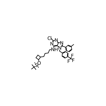 Cc1cccc(-c2nc3nc(Cl)nc(NCCCCC4CCC4O[Si](C)(C)C(C)(C)C)c3n2Cc2ccc(C(F)(F)F)cc2)c1